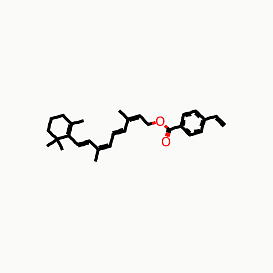 C=Cc1ccc(C(=O)OCC=C(C)C=CC=C(C)C=CC2=C(C)CCCC2(C)C)cc1